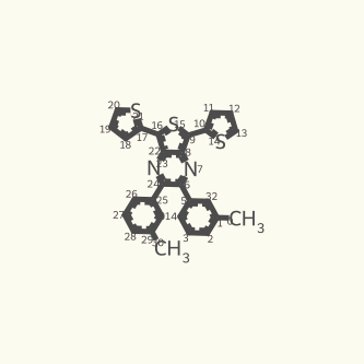 Cc1cccc(-c2nc3c(-c4cccs4)sc(-c4cccs4)c3nc2-c2cccc(C)c2)c1